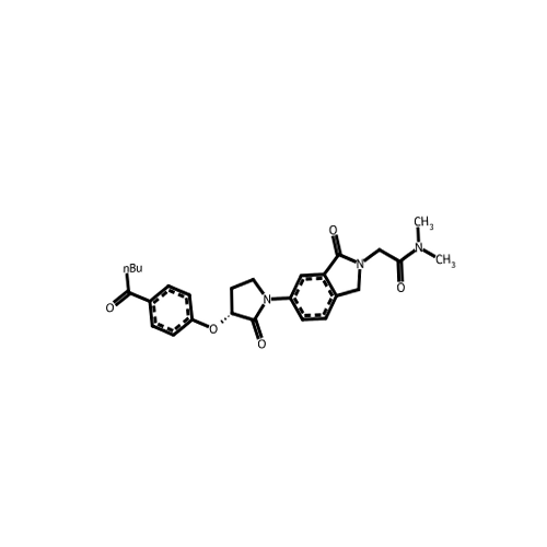 CCCCC(=O)c1ccc(O[C@@H]2CCN(c3ccc4c(c3)C(=O)N(CC(=O)N(C)C)C4)C2=O)cc1